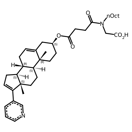 CCCCCCCCN(CC(=O)O)C(=O)CCC(=O)O[C@H]1CC[C@@]2(C)C(=CC[C@@H]3[C@@H]2CC[C@]2(C)C(c4cccnc4)=CC[C@@H]32)C1